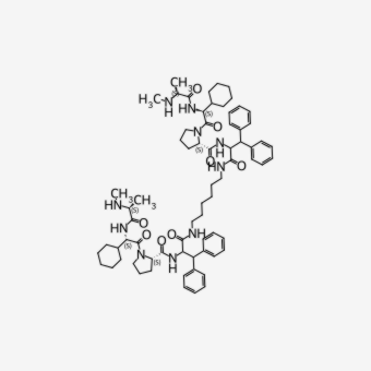 CN[C@@H](C)C(=O)N[C@H](C(=O)N1CCC[C@H]1C(=O)NC(C(=O)NCCCCCCNC(=O)C(NC(=O)[C@@H]1CCCN1C(=O)[C@@H](NC(=O)[C@H](C)NC)C1CCCCC1)C(c1ccccc1)c1ccccc1)C(c1ccccc1)c1ccccc1)C1CCCCC1